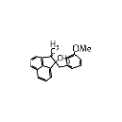 C=C1c2cccc3cccc(c23)C1(C)Cc1cccc(OC)c1